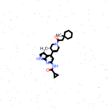 C[C@@H]1CN(C(=O)CC2(C#N)CCCCC2)CC=C1c1cc(NC(=O)C2CC2)nc2[nH]ccc12